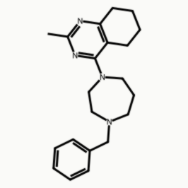 Cc1nc2c(c(N3CCCN(Cc4ccccc4)CC3)n1)CCCC2